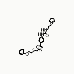 O=C(NCCCN1CCCC1)Nc1ccc(-c2cnc(CSCCOc3ccccc3)o2)cc1